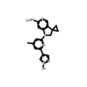 CC(=O)Nc1cc2c(cn1)C1(CC1)CN2c1cc(C)cc(-c2cnn(C(C)C)c2)n1